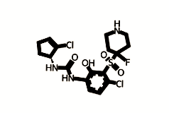 O=C(Nc1ccc(Cl)c(S(=O)(=O)C2(F)CCNCC2)c1O)N[C@@H]1CCC=C1Cl